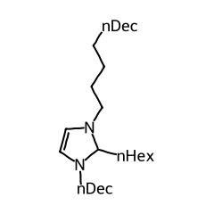 CCCCCCCCCCCCCCN1C=CN(CCCCCCCCCC)C1CCCCCC